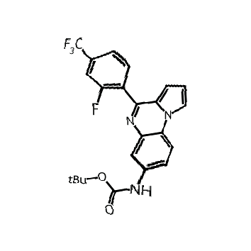 CC(C)(C)OC(=O)Nc1ccc2c(c1)nc(-c1ccc(C(F)(F)F)cc1F)c1cccn12